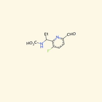 CCC(NC(=O)O)c1nc(C=O)ccc1F